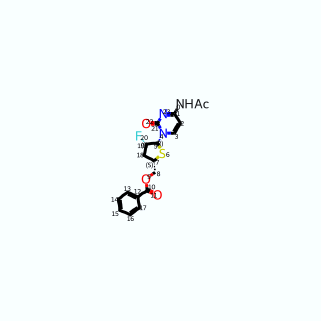 CC(=O)Nc1ccn([C@@H]2S[C@H](COC(=O)c3ccccc3)C[C@@H]2F)c(=O)n1